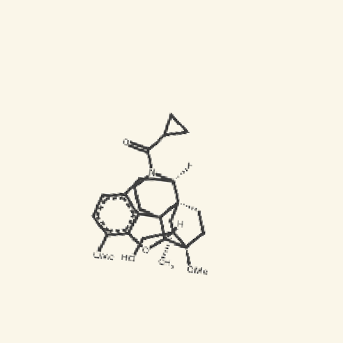 COc1ccc2c3c1O[C@H]1[C@@]4(OC)CC[C@@]5(C[C@]4(C)CO)[C@@H](C2)N(C(=O)C2CC2)CC[C@]315